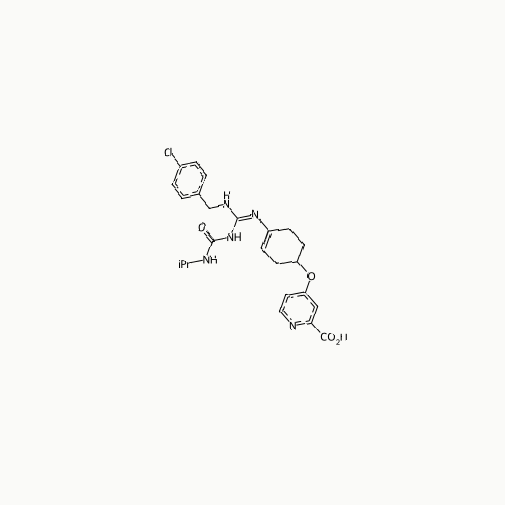 CC(C)NC(=O)N/C(=N\C1=CCC(Oc2ccnc(C(=O)O)c2)CC1)NCc1ccc(Cl)cc1